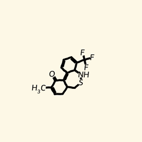 CC1=CCC2CSNC3C(C(F)(F)F)=CC=CC3=C2C1=O